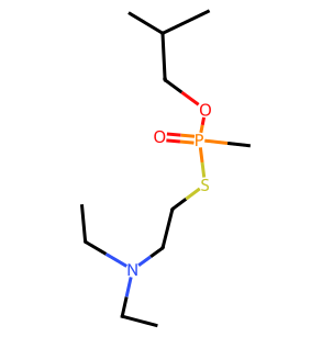 CCN(CC)CCSP(C)(=O)OCC(C)C